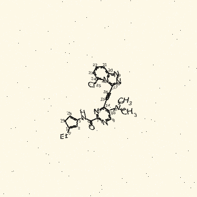 CCC1=CC(NC(=O)c2ncc(N(C)C)c(C#Cc3nnc4cccc(Cl)n34)n2)=CC1